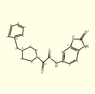 O=C(Nc1ccc2[nH]c(=O)sc2c1)C(=O)N1CCC(Cc2ccccc2)CC1